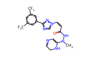 CN(NC(=O)/C=C\n1cnc(-c2cc(C(F)(F)F)cc(C(F)(F)F)c2)n1)C1=CN=CCN1